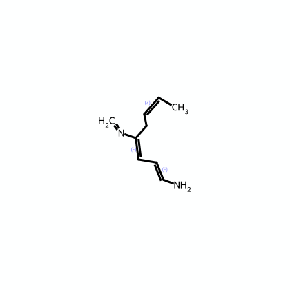 C=N/C(=C/C=C/N)C/C=C\C